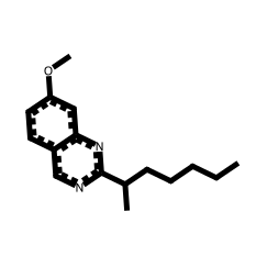 CCCCCC(C)c1ncc2ccc(OC)cc2n1